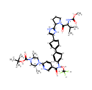 COC(=O)NC(C(=O)N1CCCC1c1nc(-c2ccc(-c3ccc(N(OC(F)(F)F)C(=O)c4ccc(N5C[C@H](C)N(C(=O)OC(C)(C)C)C[C@H]5C)nc4)cc3)cc2)c[nH]1)C(C)C